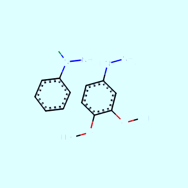 COc1ccc(NN)cc1OC.NN(F)c1ccccc1